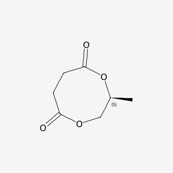 C[C@H]1COC(=O)CCC(=O)O1